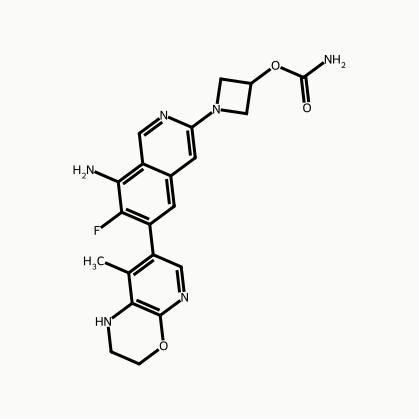 Cc1c(-c2cc3cc(N4CC(OC(N)=O)C4)ncc3c(N)c2F)cnc2c1NCCO2